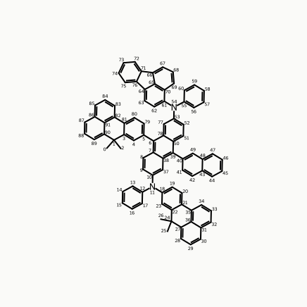 CC1(C)c2cc(-c3c4ccc(N(c5ccccc5)c5ccc6c(c5)C(C)(C)c5cccc7cccc-6c57)cc4c(-c4ccc5ccccc5c4)c4ccc(N(c5ccccc5)c5ccc6c7c(cccc57)-c5ccccc5-6)cc34)ccc2-c2cccc3cccc1c23